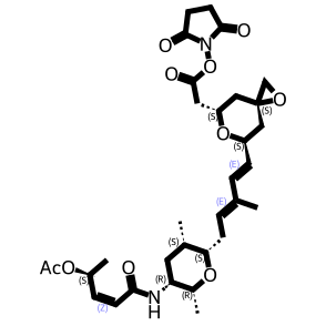 CC(=O)O[C@@H](C)/C=C\C(=O)N[C@@H]1C[C@H](C)[C@H](C/C=C(C)/C=C/[C@@H]2C[C@]3(CO3)C[C@@H](CC(=O)ON3C(=O)CCC3=O)O2)O[C@@H]1C